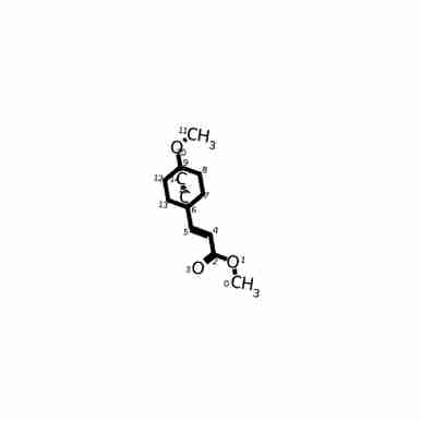 COC(=O)C=CC12CCC(OC)(CC1)CC2